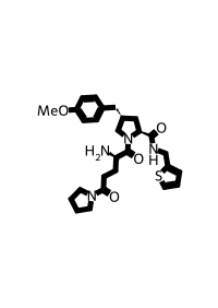 COc1ccc(C[C@@H]2C[C@@H](C(=O)NCc3cccs3)N(C(=O)[C@H](N)CCC(=O)N3CCCC3)C2)cc1